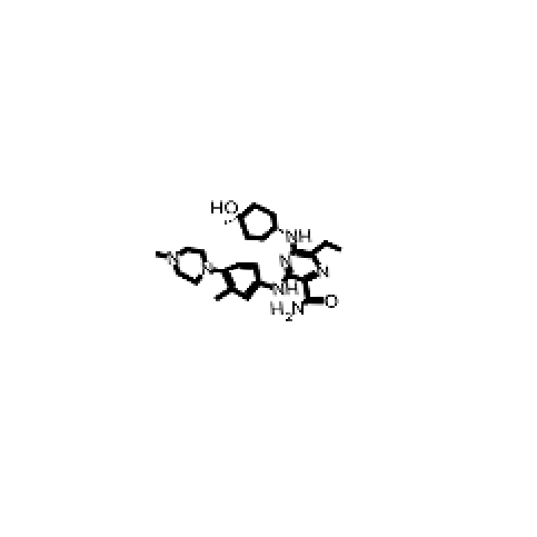 CCc1nc(C(N)=O)c(Nc2ccc(N3CCN(C)CC3)c(C)c2)nc1N[C@H]1CC[C@](C)(O)CC1